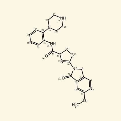 COc1cc2c(cn1)CN(C1=NC(C(=O)Nc3cnccc3N3CCNCC3)CS1)C2=O